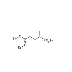 CCOC(=O)C(C)CC[SiH](OCC)OCC